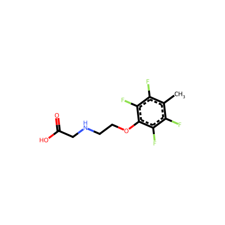 Cc1c(F)c(F)c(OCCNCC(=O)O)c(F)c1F